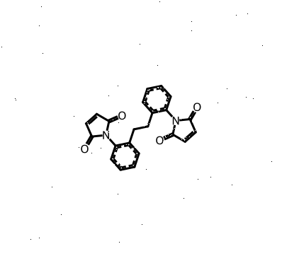 O=C1C=CC(=O)N1c1ccccc1CCc1ccccc1N1C(=O)C=CC1=O